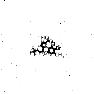 Cc1cc(SC(CCC(F)(F)F)c2ccc(C(=O)O)s2)cc(C)c1Br